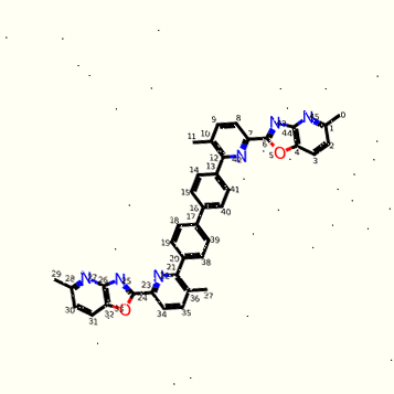 Cc1ccc2oc(-c3ccc(C)c(-c4ccc(-c5ccc(-c6nc(-c7nc8nc(C)ccc8o7)ccc6C)cc5)cc4)n3)nc2n1